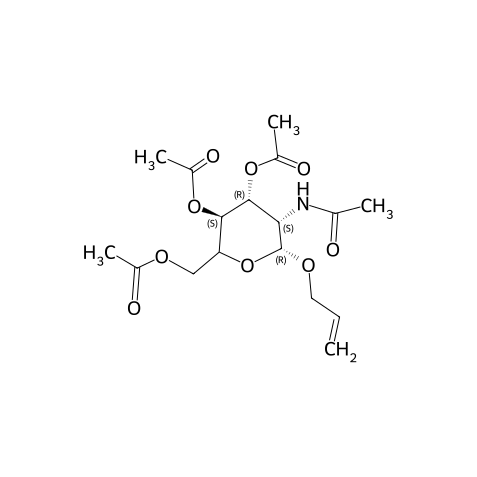 C=CCO[C@@H]1OC(COC(C)=O)[C@@H](OC(C)=O)[C@H](OC(C)=O)[C@@H]1NC(C)=O